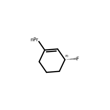 CCCC1=C[C@H](F)CCC1